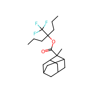 CCCC(CCC)(OC(=O)C1(C)C2CC3CC(C2)CC1C3)C(F)(F)F